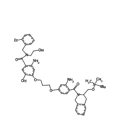 CCc1ccccc1CN(CCO)C(=O)c1cc(O)c(OCCCOc2ccc(C(=O)N3Cc4ccccc4CC3CO[Si](C)(C)C(C)(C)C)c(N)c2)cc1N